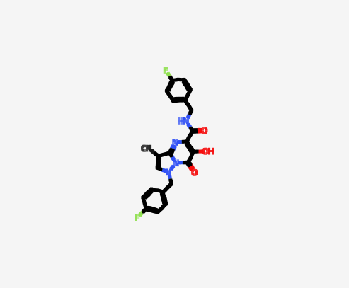 [C-]#[N+]c1cn(Cc2ccc(F)cc2)n2c(=O)c(O)c(C(=O)NCc3ccc(F)cc3)nc12